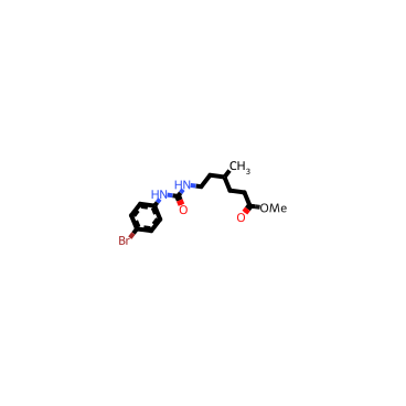 COC(=O)CCC(C)CCNC(=O)Nc1ccc(Br)cc1